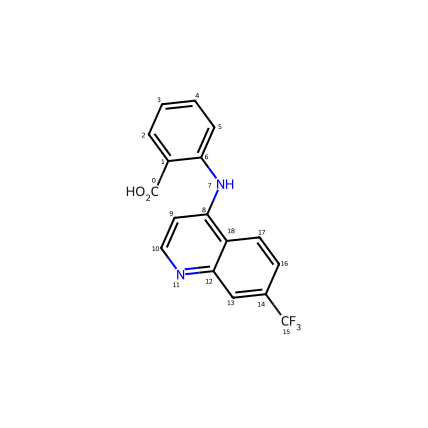 O=C(O)c1ccccc1Nc1ccnc2cc(C(F)(F)F)ccc12